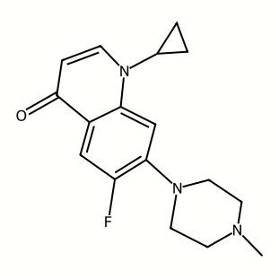 CN1CCN(c2cc3c(cc2F)c(=O)ccn3C2CC2)CC1